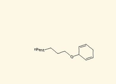 CCCCCCCCOC1C=CCC=C1